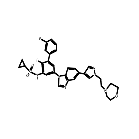 O=S(=O)(Nc1cc(-n2cnc3cc(-c4cnn(CCN5CCOCC5)c4)ccc32)cc(-c2cccc(F)c2)c1F)C1CC1